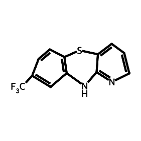 FC(F)(F)c1ccc2c(c1)Nc1ncccc1S2